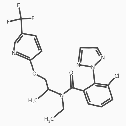 CCN(C(=O)c1cccc(Cl)c1-n1nccn1)C(C)COc1ccc(C(F)(F)F)cn1